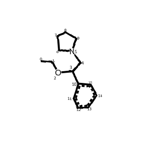 CCOC(CN1CCCC1)c1ccccc1